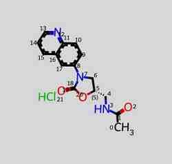 CC(=O)NC[C@H]1CN(c2ccc3ncccc3c2)C(=O)O1.Cl